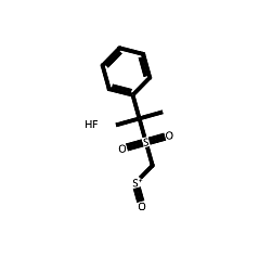 CC(C)(c1ccccc1)S(=O)(=O)C[S+]=O.F